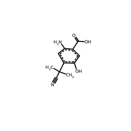 CC(C)(C#N)c1cc(N)c(C(=O)O)cc1O